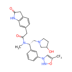 CN(C(=O)Cc1ccc2c(c1)NC(=O)C2)[C@H](CN1CCC(O)C1)c1cccc(N2C=C(C(F)(F)F)ON2)c1